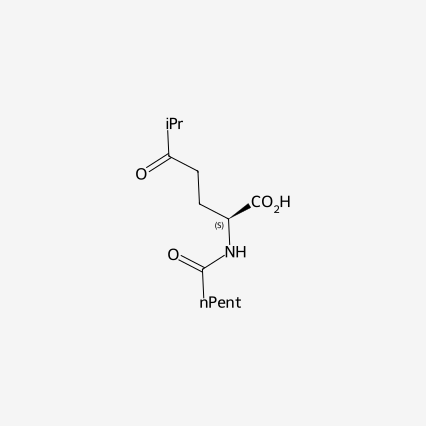 CCCCCC(=O)N[C@@H](CCC(=O)C(C)C)C(=O)O